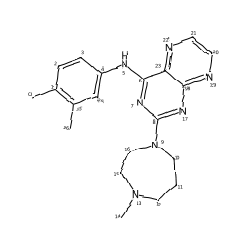 Cc1ccc(Nc2nc(N3CCCN(C)CC3)nc3nccnc23)cc1C